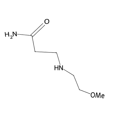 COCCNCCC(N)=O